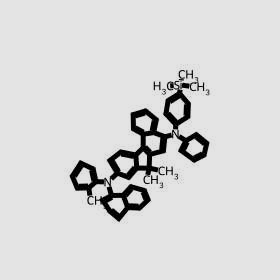 Cc1ccccc1N(c1ccc2c(c1)C(C)(C)c1cc(N(c3ccccc3)c3ccc([Si](C)(C)C)cc3)c3ccccc3c1-2)c1cccc2ccccc12